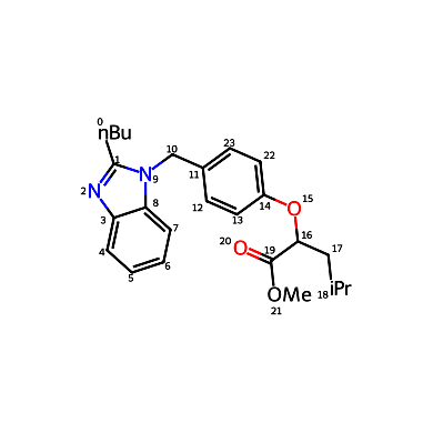 CCCCc1nc2ccccc2n1Cc1ccc(OC(CC(C)C)C(=O)OC)cc1